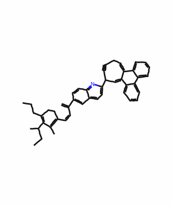 C=C(/C=C\C1=C(C)C(C(C)CC)=C(CCC)CC1)c1ccc2nc(C3C#CC/C=c4\c(c5ccccc5c5ccccc45)=C/3)ccc2c1